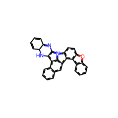 C1=CC2=Nc3c(c4c5ccccc5cc5c6c7c(ccc6n3c54)oc3ccccc37)NC2C=C1